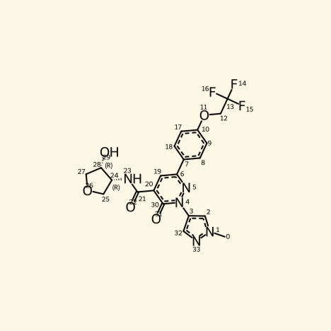 Cn1cc(-n2nc(-c3ccc(OCC(F)(F)F)cc3)cc(C(=O)N[C@@H]3COC[C@@H]3O)c2=O)cn1